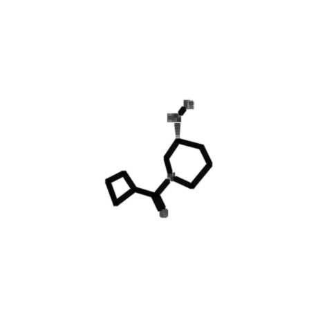 CCN[C@@H]1CCCN(C(=O)C2CCC2)C1